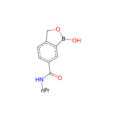 CCCNC(=O)c1ccc2c(c1)B(O)OC2